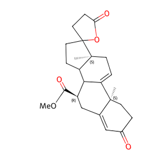 COC(=O)[C@@H]1CC2=CC(=O)CC[C@]2(C)C2=CC[C@@]3(C)C(CCC34CCC(=O)O4)C21